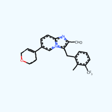 Cc1c(Cc2c(C=O)nc3ccc(C4=CCOCC4)cn23)cccc1C(F)(F)F